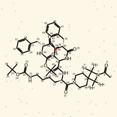 [2H]C1([2H])N(C(C)=O)C([2H])([2H])C12CCN(C(=O)[C@@H](CCCCNC(=O)OC(C)(C)C)NC(=O)[C@@H](CC(C)C)NC(=O)[C@@H](Cc1ccccc1)NC(=O)[C@@H](Cc1ccccc1)NC(=O)OC(C)(C)C)CC2